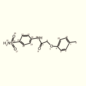 Cc1ccc(OCC(=O)Nc2ccc(S(N)(=O)=O)cc2)cc1